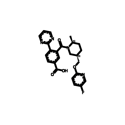 C[C@H]1CC[C@H](COc2ccc(F)cn2)CN1C(=O)c1cc(C(=O)O)ccc1-c1ncccn1